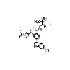 CC(C)(O)[C@H](F)CNC(=O)c1cnc(-c2cnc3cc(C#N)cnn23)cc1Nc1cnn(C(F)F)c1